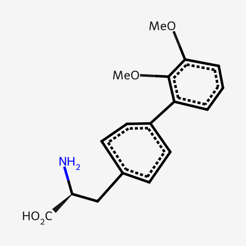 COc1cccc(-c2ccc(C[C@H](N)C(=O)O)cc2)c1OC